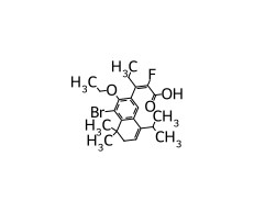 CCOc1c(/C(CC)=C(/F)C(=O)O)cc2c(c1Br)C(C)(C)CC=C2C(C)C